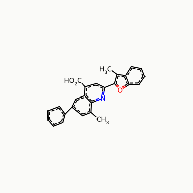 Cc1c(-c2cc(C(=O)O)c3cc(-c4ccccc4)cc(C)c3n2)oc2ccccc12